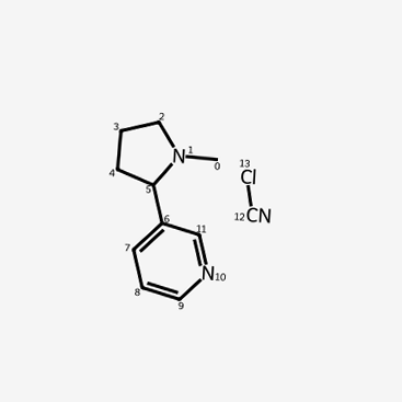 CN1CCCC1c1cccnc1.N#CCl